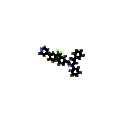 FC1(F)c2cc(-c3ccncc3)ccc2-c2ccc(-c3nc(-c4ccccc4)cc(-c4ccccc4)n3)cc21